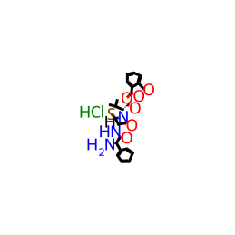 CC1(C)S[C@@H]2[C@H](NC(=O)[C@H](N)c3ccccc3)C(=O)N2[C@H]1C(=O)OC1OC(=O)c2ccccc21.Cl